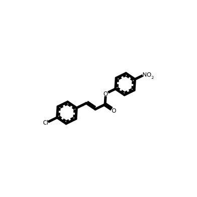 O=C(C=Cc1ccc(Cl)cc1)Oc1ccc([N+](=O)[O-])cc1